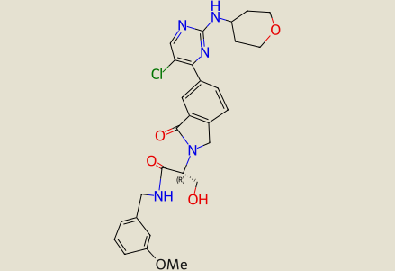 COc1cccc(CNC(=O)[C@@H](CO)N2Cc3ccc(-c4nc(NC5CCOCC5)ncc4Cl)cc3C2=O)c1